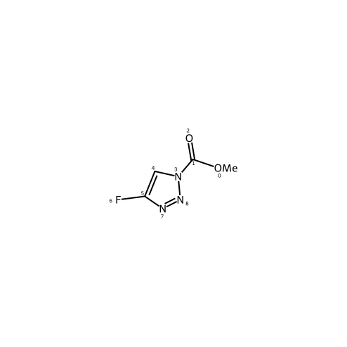 COC(=O)n1cc(F)nn1